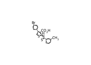 Cc1cccc(C(=S)Nc2scc(-c3ccc(Br)cc3)c2C(=O)O)c1